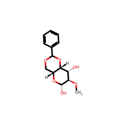 CO[C@@H]1[C@@H](O)[C@H]2OC(c3ccccc3)OC[C@H]2O[C@H]1O